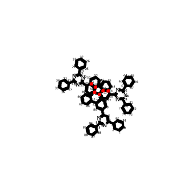 c1ccc(-c2cc(-c3ccc(-n4c5ccccc5c5cc(-c6nc(-c7ccccc7)nc(-c7ccccc7)n6)ccc54)c(-c4ccccc4-n4c5ccccc5c5cc(-c6nc(-c7ccccc7)nc(-c7ccccc7)n6)ccc54)c3)nc(-c3ccccc3)n2)cc1